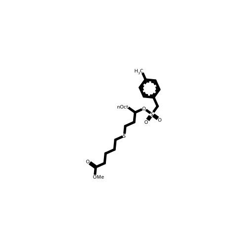 CCCCCCCCC(CCSCCCCC(=O)OC)OS(=O)(=O)Cc1ccc(C)cc1